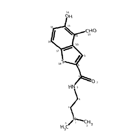 CN(C)CCNC(=O)c1cc2c(C=O)c(O)ccc2s1